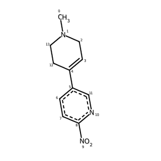 CN1CC=C(c2ccc([N+](=O)[O-])nc2)CC1